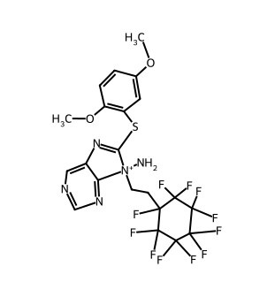 COc1ccc(OC)c(SC2=Nc3cncnc3[N+]2(N)CCC2(F)C(F)(F)C(F)(F)C(F)(F)C(F)(F)C2(F)F)c1